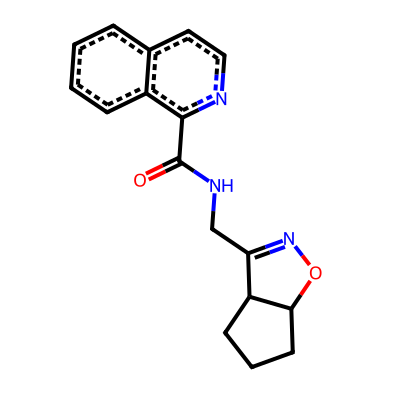 O=C(NCC1=NOC2CCCC12)c1nccc2ccccc12